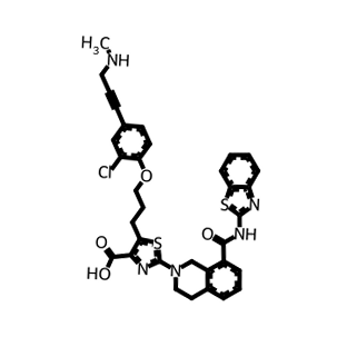 CNCC#Cc1ccc(OCCCc2sc(N3CCc4cccc(C(=O)Nc5nc6ccccc6s5)c4C3)nc2C(=O)O)c(Cl)c1